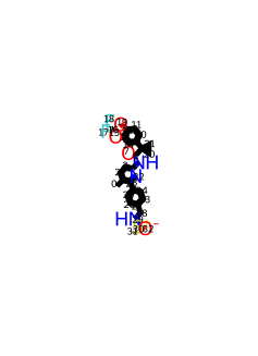 Cc1ccc(NC(=O)C2(c3ccc4c(c3)OC(F)(F)O4)CC2)nc1-c1ccc(CN[S+](C)[O-])cc1